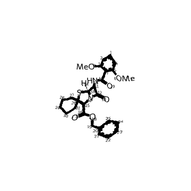 COc1cccc(OC)c1C(=O)NC1C(=O)N2C(C(=O)OCc3ccccc3)C3(CCCCC3)S[C@@H]12